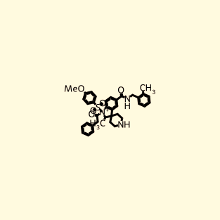 COc1ccc(S(=O)(=O)[N+]2(C(=O)Cc3ccccc3)c3ccc(C(=O)NCc4ccccc4C)cc3C3(CCNCC3)C2C)cc1